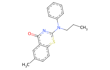 CCCN(c1ccccc1)c1nc(=O)c2cc(C)ccc2s1